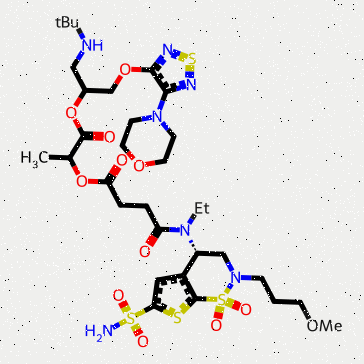 CCN(C(=O)CCC(=O)OC(C)C(=O)OC(CNC(C)(C)C)COc1nsnc1N1CCOCC1)[C@@H]1CN(CCCOC)S(=O)(=O)c2sc(S(N)(=O)=O)cc21